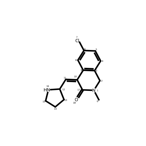 CN1Cc2ccc(Cl)cc2C(=CC2CCCN2)C1=O